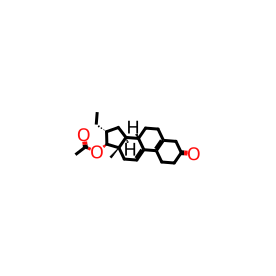 CC[C@@H]1C[C@H]2[C@@H]3CCC4=C(CCC(=O)C4)C3=CC[C@]2(C)[C@H]1OC(C)=O